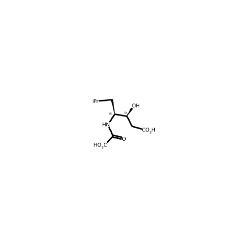 CC(C)C[C@H](NC(=O)C(=O)O)[C@@H](O)CC(=O)O